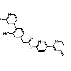 C=N/C=C(\N=C/C)c1ccc(NC(=O)Cc2ccc(-c3ccnc(F)c3)c(C#N)c2)nc1